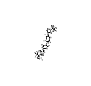 CC(C)(C)[C@H](N)C1=NCC(c2ccc(-c3ccc(-c4cnc([C@@H](N)C(C)(C)C)[nH]4)cc3)cc2)=N1